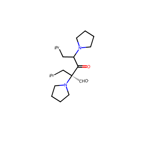 CC(C)CC(C(=O)[C@]([C]=O)(CC(C)C)N1CCCC1)N1CCCC1